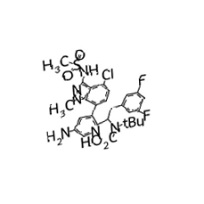 Cn1nc(NS(C)(=O)=O)c2c(Cl)ccc(-c3cc(N)cnc3C(Cc3cc(F)cc(F)c3)N(C(=O)O)C(C)(C)C)c21